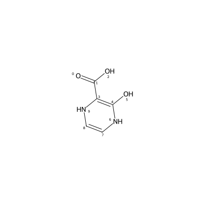 O=C(O)C1=C(O)NC=CN1